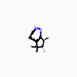 C[C@@H]1c2nnccc2C(C)(C)[C@H]1C